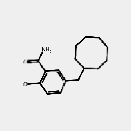 NC(=O)c1cc(CC2CCCCCCC2)ccc1Cl